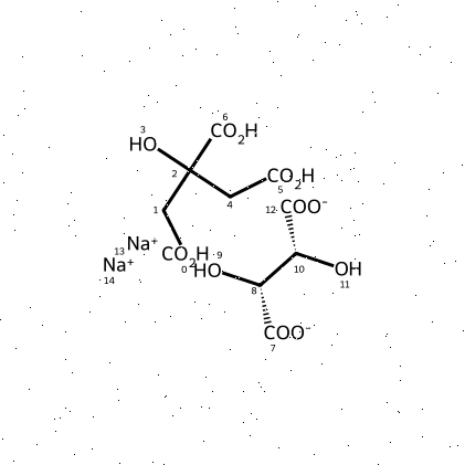 O=C(O)CC(O)(CC(=O)O)C(=O)O.O=C([O-])[C@H](O)[C@@H](O)C(=O)[O-].[Na+].[Na+]